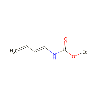 C=CC=CNC(=O)OCC